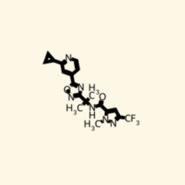 Cn1nc(C(F)(F)F)cc1C(=O)NC(C)(C)c1noc(-c2ccnc(C3CC3)c2)n1